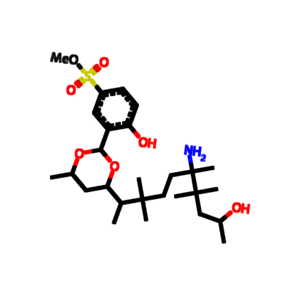 COS(=O)(=O)c1ccc(O)c(C2OC(C)CC(C(C)C(C)(C)CCC(C)(N)C(C)(C)CC(C)O)O2)c1